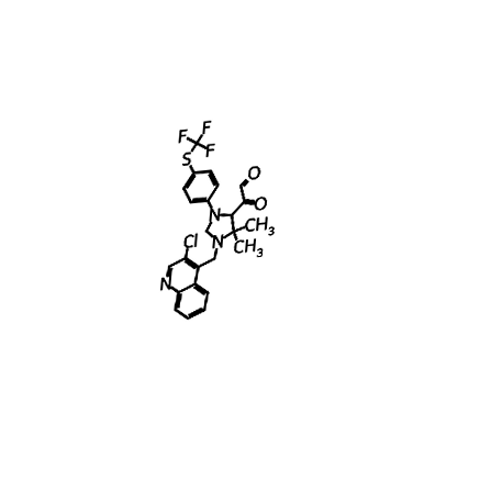 CC1(C)C(C(=O)C=O)N(c2ccc(SC(F)(F)F)cc2)CN1Cc1c(Cl)cnc2ccccc12